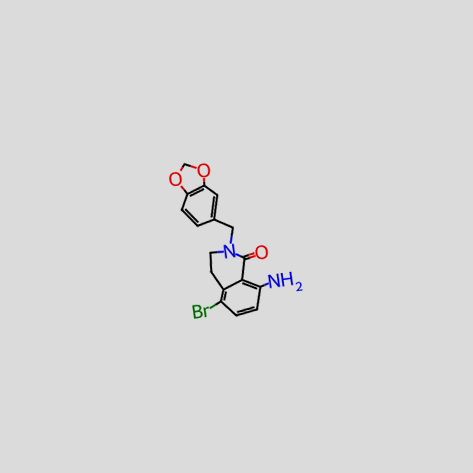 Nc1ccc(Br)c2c1C(=O)N(Cc1ccc3c(c1)OCO3)CC2